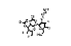 CCC(=O)OC1C(OC2OC(CO)C(O)C(O)C2OSOOO)OC(CO)C(O)C1OC(=O)CC